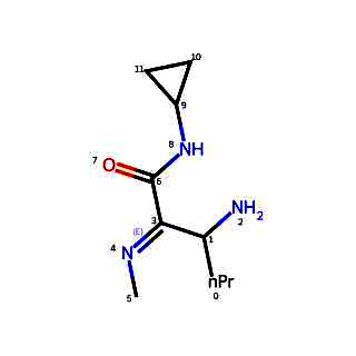 CCCC(N)/C(=N\C)C(=O)NC1CC1